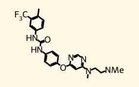 CNCCN(C)c1cc(Oc2ccc(NC(=O)Nc3ccc(C)c(C(F)(F)F)c3)cc2)ncn1